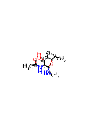 CCC1OC(NC)C(NC(C)=O)[C@@H](O)C1C